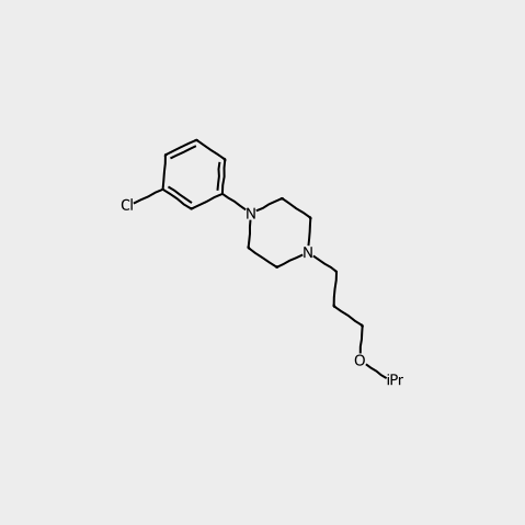 CC(C)OCCCN1CCN(c2cccc(Cl)c2)CC1